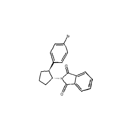 O=C1c2ccccc2C(=O)N1[C@@H]1CCC[C@H]1c1ccc(Br)cc1